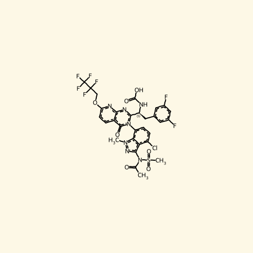 CC(=O)N(c1nn(C)c2c(-n3c([C@H](Cc4cc(F)cc(F)c4)NC(=O)O)nc4nc(OCC(F)(F)C(F)(F)F)ccc4c3=O)ccc(Cl)c12)S(C)(=O)=O